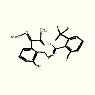 CO/N=C(/C(=O)OC)c1cccc(C)c1CO/N=C(\C)c1c(F)cccc1C(F)(F)I